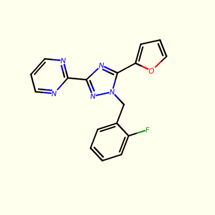 Fc1ccccc1Cn1nc(-c2ncccn2)nc1-c1ccco1